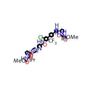 COC(=O)N[C@H](C(=O)N1CCC[C@H]1c1nc(-c2ccc(-c3cc(Cl)c(NC(=O)c4ccc(N5CCN(C(=O)[C@]6(C)CCCN6C(=O)[C@@H](NC(=O)OC)C(C)C)C[C@H]5C)nc4)cc3C(F)(F)F)cc2)c[nH]1)C(C)C